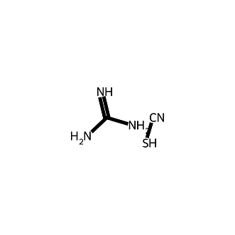 N#CS.N=C(N)N